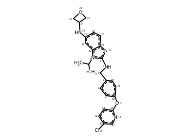 CC(C)n1c(NCc2ccc(Oc3ccc(Cl)cn3)cc2)nc2ccc(NC3COC3)cc21